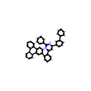 C1=CC2c3ccccc3-c3ccc(-c4ccccc4-c4cc(-c5cccc(-c6ccccc6)c5)nc(-c5ccccc5)n4)cc3C2C=C1